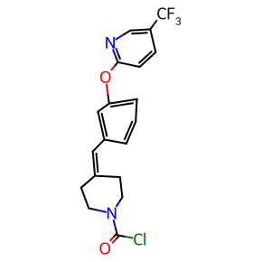 O=C(Cl)N1CCC(=Cc2cccc(Oc3ccc(C(F)(F)F)cn3)c2)CC1